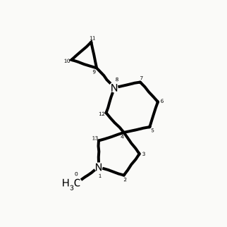 CN1CCC2(CCCN(C3CC3)C2)C1